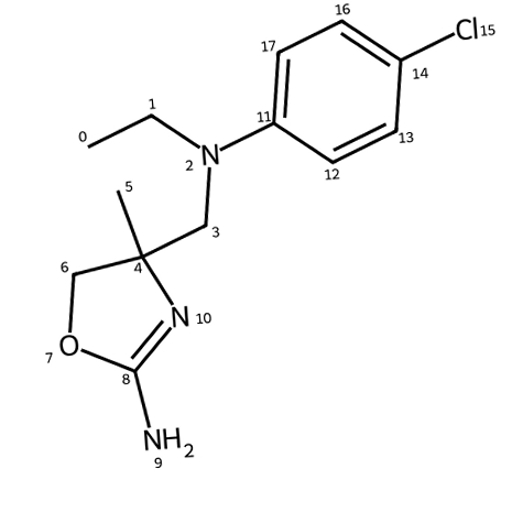 CCN(CC1(C)COC(N)=N1)c1ccc(Cl)cc1